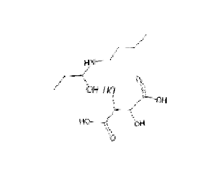 CCCCNC(O)CC.O=C(O)C(O)C(O)C(=O)O